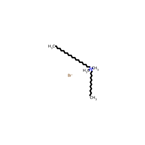 CCCCCCCCCCCCCCCCCCCC[N+](C)(C)CCCCCCCCCCCCC.[Br-]